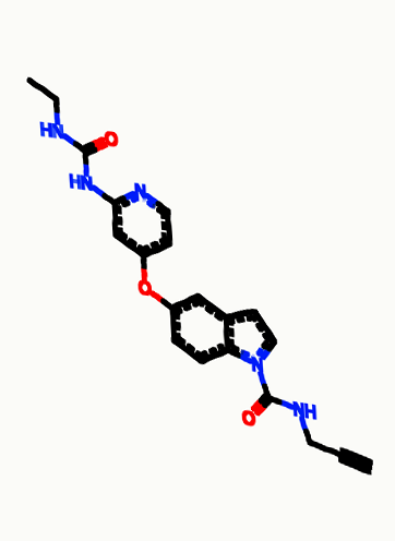 C#CCNC(=O)n1ccc2cc(Oc3ccnc(NC(=O)NCC)c3)ccc21